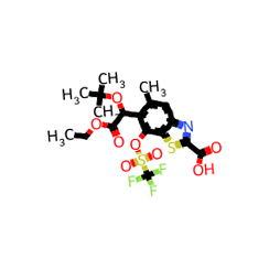 CCOC(=O)C(OC(C)(C)C)c1c(C)cc2nc(C(=O)O)sc2c1OS(=O)(=O)C(F)(F)F